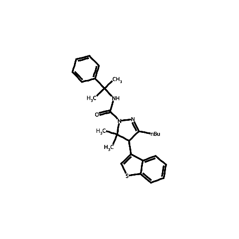 CCCCC1=NN(C(=O)NC(C)(C)c2ccccc2)C(C)(C)C1c1csc2ccccc12